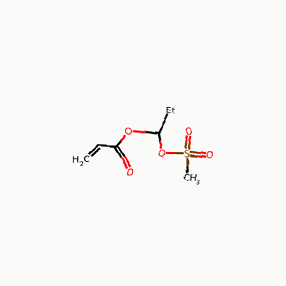 C=CC(=O)OC(CC)OS(C)(=O)=O